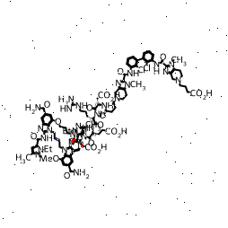 CCn1nc(C)cc1C(=O)Nc1nc2cc(C(N)=O)cc(OCCCNC(=O)[C@H](CC(=O)O)NC(=O)[C@H](CCC(=O)O)NC(=O)[C@H](CCCNC(=N)N)NC(=O)[C@H](CC(=O)O)NC(=O)CCCN3CCc4c(nc(C(=O)Nc5cccc(-c6cccc(NC(=O)c7nc8c(n7C)CCN(CCCC(=O)O)C8)c6Cl)c5Cl)n4C)C3)c2n1C/C=C/Cn1c2nc(-c3cc(C)nn3CC)ncc2c2cc(C(N)=O)cc(OC)c21